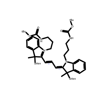 CCCCCCC1(C)C(/C=C/C=C2\N(CCCNC(=O)OC(C)(C)C)c3ccccc3C2(C)CCCCCC)=[N+](CCCNC(=O)OC(C)(C)C)c2ccccc21